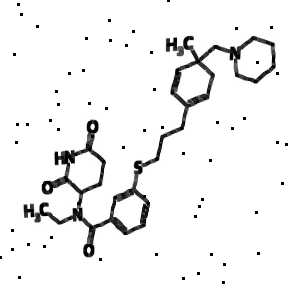 CCN(C(=O)c1cccc(SCCCC2=CCC(C)(CN3CCCCC3)C=C2)c1)C1CCC(=O)NC1=O